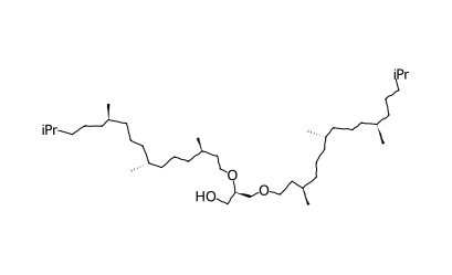 CC(C)CCC[C@@H](C)CCC[C@@H](C)CCC[C@@H](C)CCOC[C@@H](CO)OCC[C@H](C)CCC[C@H](C)CCC[C@H](C)CCCC(C)C